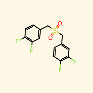 O=S(=O)(Cc1ccc(F)c(F)c1)Cc1ccc(F)c(F)c1